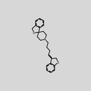 C(CCCN1CCC2(CC1)OCc1ccccc12)=C1CSc2ccccc21